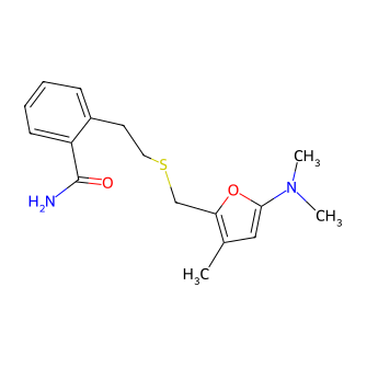 Cc1cc(N(C)C)oc1CSCCc1ccccc1C(N)=O